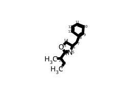 CCC(C)C1=NC(Cc2ccccc2)CO1